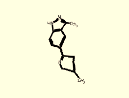 Cc1n[nH]c2ccc(C3=NCC(C)CC3)cc12